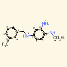 CCOC(=O)Nc1ccc(NCc2cccc(C(F)(F)F)c2)cc1N